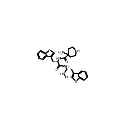 NC1(C(=O)N[C@H](Cc2csc3ccccc23)C(=O)N[C@H](Cc2csc3ccccc23)NC=O)CCNCC1